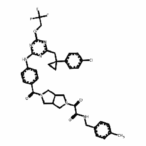 Cc1ccc(CNC(=O)C(=O)N2CC3CN(C(=O)c4ccc(Nc5nc(CC6(c7ccc(Cl)cc7)CC6)nc(OCC(F)(F)F)n5)cc4)CC3C2)cc1